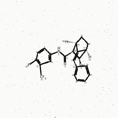 N[C@H]1[C@@H](C(=O)Nc2ccc(F)c(C(F)(F)F)c2)[C@H]2CC[C@@H]1/C2=C\c1ccccc1